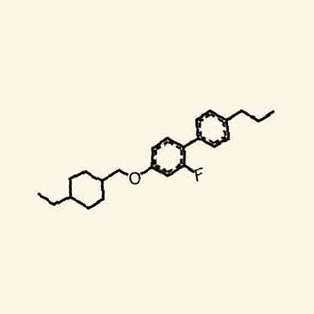 CCCc1ccc(-c2ccc(OCC3CCC(CC)CC3)cc2F)cc1